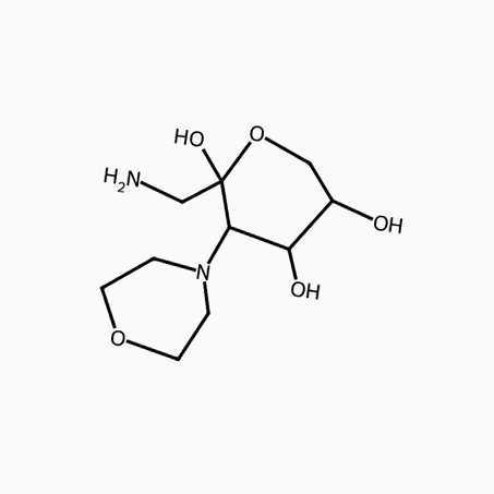 NCC1(O)OCC(O)C(O)C1N1CCOCC1